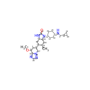 COc1cc(-c2cc3[nH]c(=O)n([C@H]4CC[C@@H](NCC5CC5)CC4)c3cc2C)cn2ncnc12